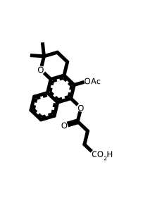 CC(=O)Oc1c2c(c3ccccc3c1OC(=O)CCC(=O)O)OC(C)(C)CC2